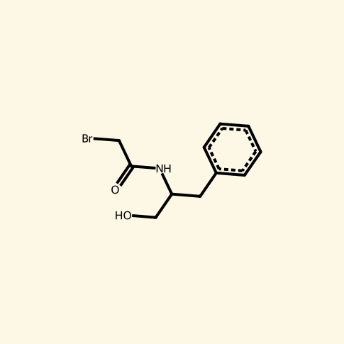 O=C(CBr)NC(CO)Cc1ccccc1